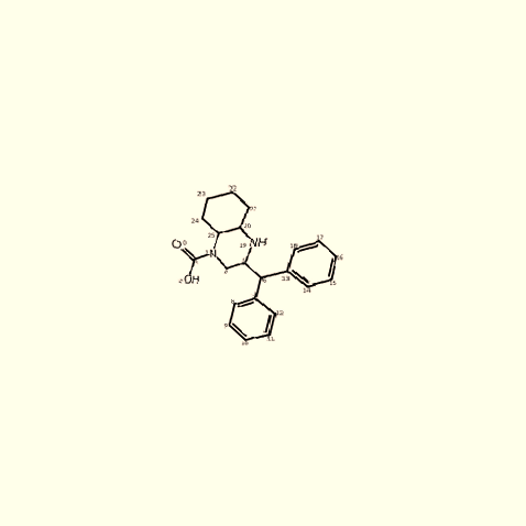 O=C(O)N1CC(C(c2ccccc2)c2ccccc2)NC2CCCCC21